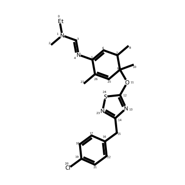 CCN(C)/C=N/C1=CC(C)C(C)(Oc2nc(Cc3ccc(Cl)cc3)ns2)C=C1C